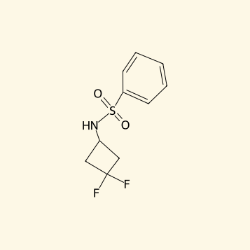 O=S(=O)(NC1CC(F)(F)C1)c1ccccc1